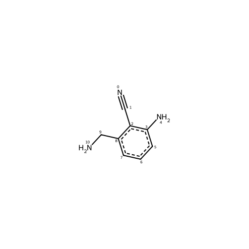 N#Cc1c(N)cccc1CN